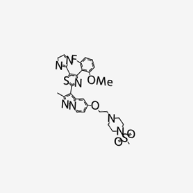 COc1cccc(F)c1-c1nc(-c2c(C)nn3ccc(OCCN4CCN(S(C)(=O)=O)CC4)cc23)sc1C1=NCC=N1